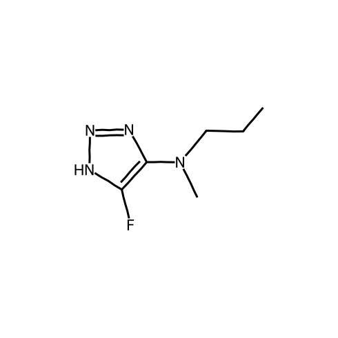 CCCN(C)c1nn[nH]c1F